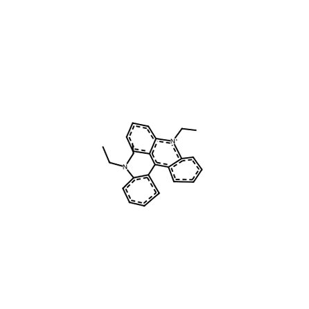 CCN(CC)c1ccccc1-c1c2ccccc2[n+](CC)c2ccccc12